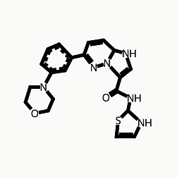 O=C(NC1NC=CS1)C1=CNC2C=CC(c3cccc(N4CCOCC4)c3)=NN12